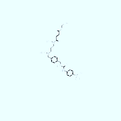 CCOC(=O)/C=C/C(=O)N(O)CCCN(C)Cc1ccc(CNC(=O)Nc2ccc(N(C)C)cc2)cc1